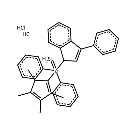 CC1=C(C)C(C)[C]([Zr](=[SiH2])([c]2ccccc2)([c]2ccccc2)[CH]2C=C(c3ccccc3)c3ccccc32)=C1C.Cl.Cl